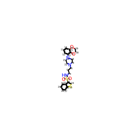 O=S(=O)(NCCCN1CCN(c2cccc3c2OCCO3)CC1)c1csc2ccccc12